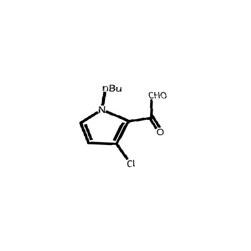 CCCCn1ccc(Cl)c1C(=O)C=O